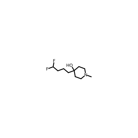 CN1CCC(O)(CCCC(F)F)CC1